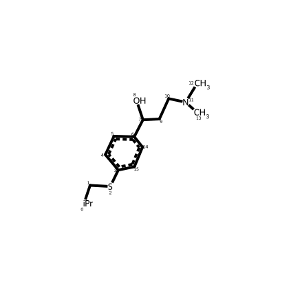 CC(C)CSc1ccc(C(O)CCN(C)C)cc1